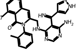 Cc1ccccc1-n1c(CNc2ncnc(N)c2C(=N)c2cn[nH]c2)cc2cccc(Cl)c2c1=O